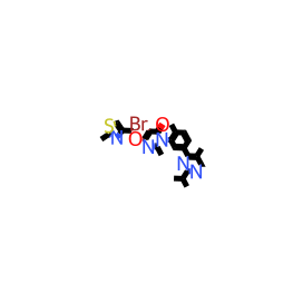 Cc1nc(COc2nc(C)n(-c3cc(-c4nc(C(C)C)ncc4C)ccc3C)c(=O)c2Br)cs1